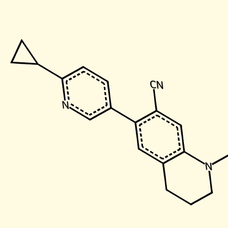 CC(C)N1CCCc2cc(-c3ccc(C4CC4)nc3)c(C#N)cc21